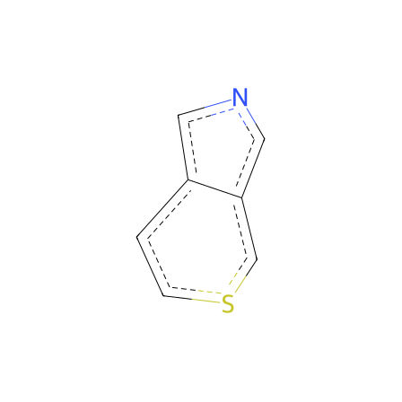 c1cc2cncc-2cs1